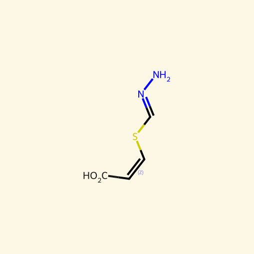 NN=CS/C=C\C(=O)O